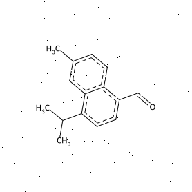 Cc1ccc2c(C=O)ccc(C(C)C)c2c1